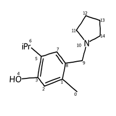 Cc1cc(O)c(C(C)C)cc1CN1CCCC1